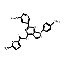 COc1ccc(-n2ncc3c(NC(=O)c4ccc([N+](=O)[O-])s4)nc(-c4cncc(OC)c4)nc32)cc1